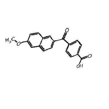 COc1ccc2cc(C(=O)c3ccc(C(=O)O)cc3)ccc2c1